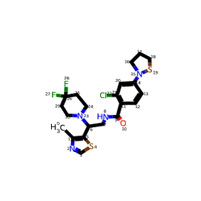 Cc1ncsc1C(CNC(=O)c1ccc(N2CCCS2)cc1Cl)N1CCC(F)(F)CC1